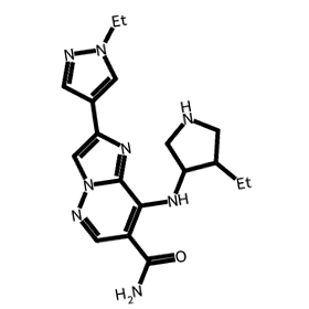 CCC1CNCC1Nc1c(C(N)=O)cnn2cc(-c3cnn(CC)c3)nc12